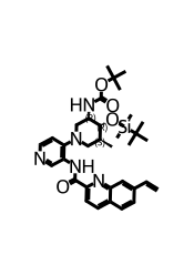 C=Cc1ccc2ccc(C(=O)Nc3cnccc3N3C[C@H](C)[C@@H](O[Si](C)(C)C(C)(C)C)[C@H](NC(=O)OC(C)(C)C)C3)nc2c1